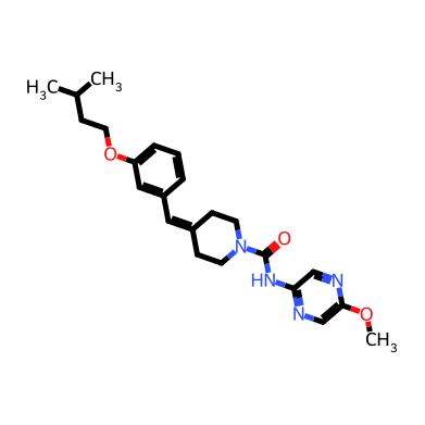 COc1cnc(NC(=O)N2CCC(=Cc3cccc(OCCC(C)C)c3)CC2)cn1